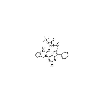 C[C@@H](Cc1sc2c(N(Cc3cccs3)C(=O)O)nc(Cl)nc2c1-c1ccccc1)NC(=O)OC(C)(C)C